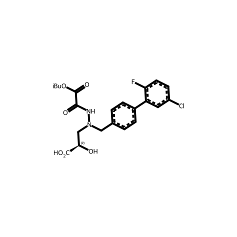 CC(C)COC(=O)C(=O)NN(Cc1ccc(-c2cc(Cl)ccc2F)cc1)C[C@@H](O)C(=O)O